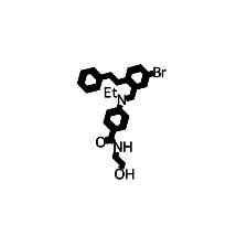 CCN(Cc1cc(Br)ccc1CCc1ccccc1)c1ccc(C(=O)NCCO)cc1